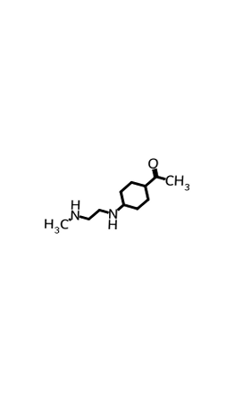 CNCCNC1CCC(C(C)=O)CC1